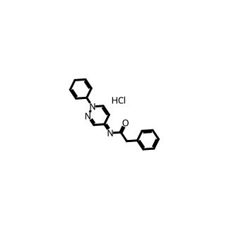 Cl.O=C(Cc1ccccc1)N=c1ccn(C2C=CCC=C2)nc1